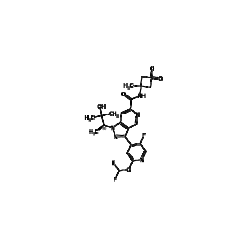 C[C@H](n1nc(-c2cc(OC(F)F)ncc2F)c2cnc(C(=O)NC3(C)CS(=O)(=O)C3)cc21)C(C)(C)O